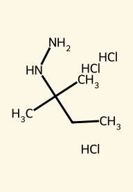 CCC(C)(C)NN.Cl.Cl.Cl